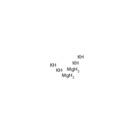 [KH].[KH].[KH].[KH].[MgH2].[MgH2]